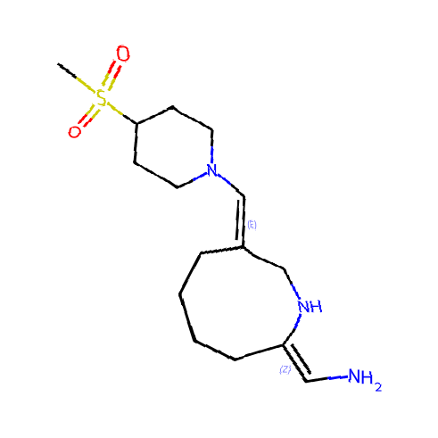 CS(=O)(=O)C1CCN(/C=C2\CCCC/C(=C/N)NC2)CC1